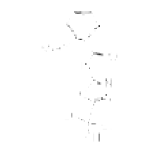 CCC(C)(CC)c1nnc(NC(=O)c2ccccc2OC)s1